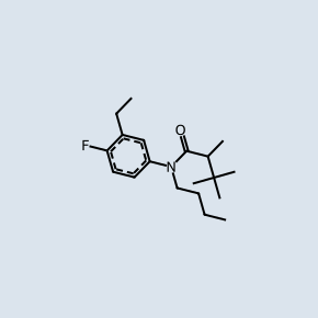 CCCCN(C(=O)C(C)C(C)(C)C)c1ccc(F)c(CC)c1